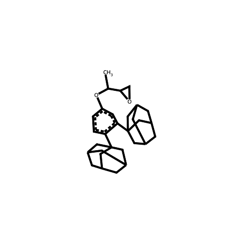 CC(Oc1ccc(C23CC4CC(CC(C4)C2)C3)c(C23CC4CC(CC(C4)C2)C3)c1)C1CO1